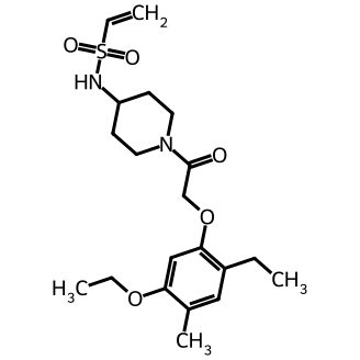 C=CS(=O)(=O)NC1CCN(C(=O)COc2cc(OCC)c(C)cc2CC)CC1